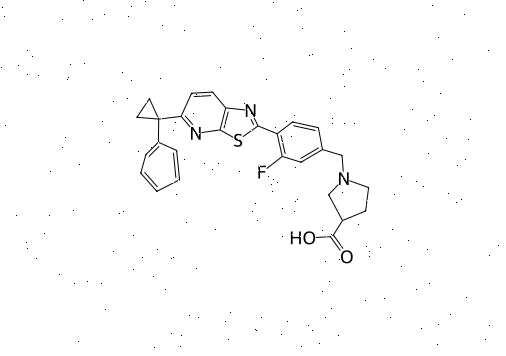 O=C(O)C1CCN(Cc2ccc(-c3nc4ccc(C5(c6ccccc6)CC5)nc4s3)c(F)c2)C1